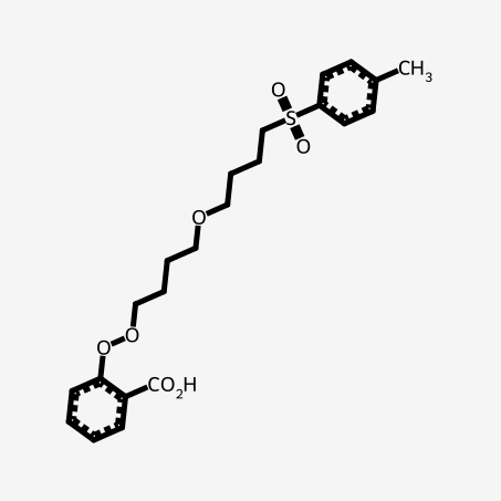 Cc1ccc(S(=O)(=O)CCCCOCCCCOOc2ccccc2C(=O)O)cc1